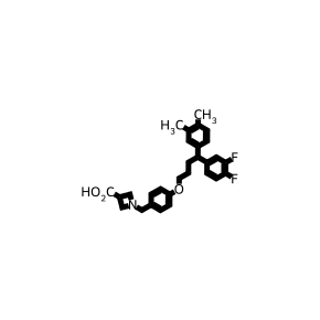 Cc1ccc(C(CCCOc2ccc(CN3CC(C(=O)O)C3)cc2)c2ccc(F)c(F)c2)cc1C